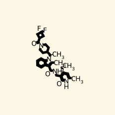 CSc1cc(C)[nH]c(=O)c1CNC(=O)c1c(C)n([C@@H](C)C2CCN(C(=O)C3CC(F)(F)C3)CC2)c2ccccc12